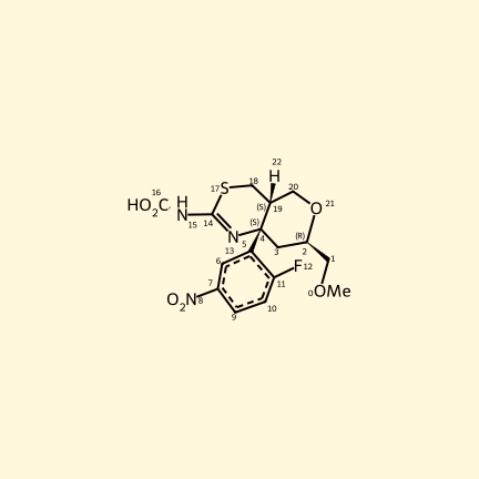 COC[C@H]1C[C@]2(c3cc([N+](=O)[O-])ccc3F)N=C(NC(=O)O)SC[C@@H]2CO1